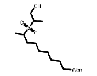 CCCCCCCCCCCCCCCCC(C)S(=O)(=O)C(C)CO